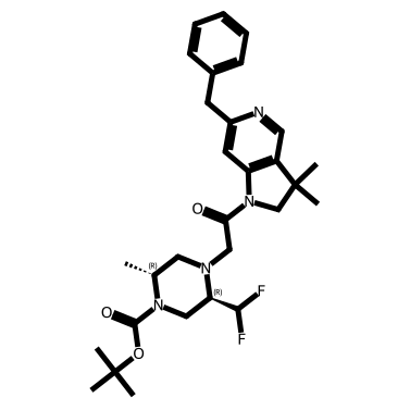 C[C@@H]1CN(CC(=O)N2CC(C)(C)c3cnc(Cc4ccccc4)cc32)[C@@H](C(F)F)CN1C(=O)OC(C)(C)C